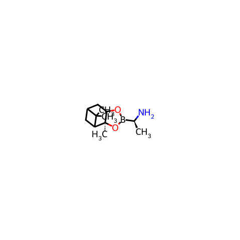 C[C@H](N)B1OC2CC3CC(C3(C)C)[C@]2(C)O1